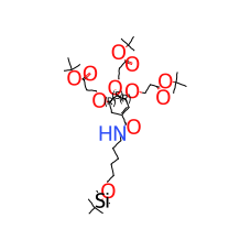 CC(C)(C)OC(=O)CCO[C@@H]1[C@H](OCCC(=O)OC(C)(C)C)C=C(C(=O)NCCCCCCO[Si](C)(C)C(C)(C)C)C[C@H]1OCCC(=O)OC(C)(C)C